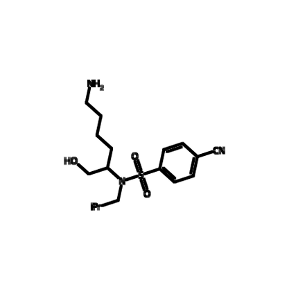 CC(C)CN(C(CO)CCCCN)S(=O)(=O)c1ccc(C#N)cc1